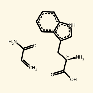 C=CC(N)=O.N[C@H](Cc1c[nH]c2ccccc12)C(=O)O